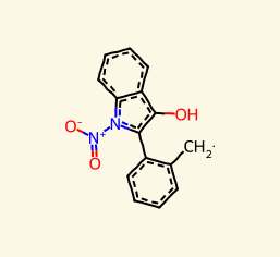 [CH2]c1ccccc1-c1c(O)c2ccccc2n1[N+](=O)[O-]